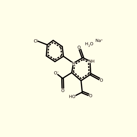 O.O=C(O)c1c(C(=O)[O-])n(-c2ccc(Cl)cc2)c(=O)[nH]c1=O.[Na+]